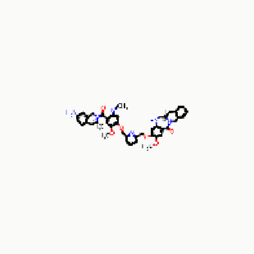 C=Nc1cc(OCc2cccc(COc3cc4c(cc3OC)C(=O)N3Cc5ccccc5C[C@H]3CN4)n2)c(OC)cc1C(=O)N1Cc2cc(N)ccc2C[C@H]1C